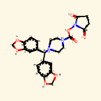 O=C(ON1C(=O)CCC1=O)N1CCN(C(c2ccc3c(c2)OCO3)c2ccc3c(c2)OCO3)CC1